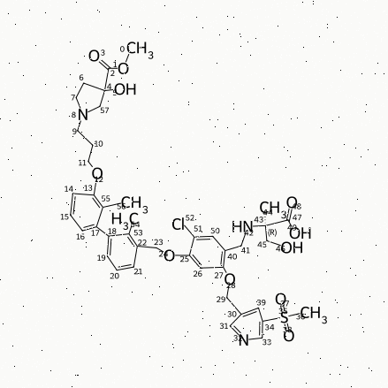 COC(=O)C1(O)CCN(CCCOc2cccc(-c3cccc(COc4cc(OCc5cncc(S(C)(=O)=O)c5)c(CN[C@](C)(CO)C(=O)O)cc4Cl)c3C)c2C)C1